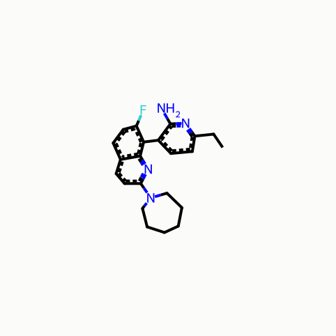 CCc1ccc(-c2c(F)ccc3ccc(N4CCCCCC4)nc23)c(N)n1